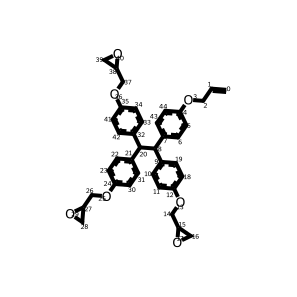 C=CCOc1ccc(C(c2ccc(OCC3CO3)cc2)C(c2ccc(OCC3CO3)cc2)c2ccc(OCC3CO3)cc2)cc1